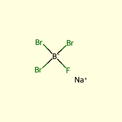 F[B-](Br)(Br)Br.[Na+]